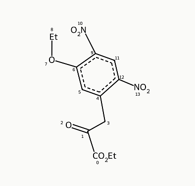 CCOC(=O)C(=O)Cc1cc(OCC)c([N+](=O)[O-])cc1[N+](=O)[O-]